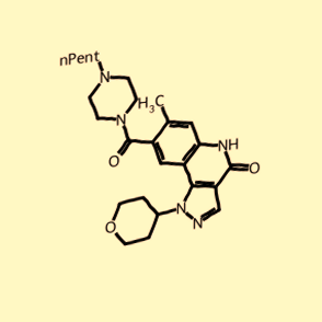 CCCCCN1CCN(C(=O)c2cc3c(cc2C)[nH]c(=O)c2cnn(C4CCOCC4)c23)CC1